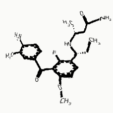 CC[C@@H](N[C@H](C)CC(N)=O)c1ccc(OC)c(C(=O)c2ccc(N)c(C)c2)c1F